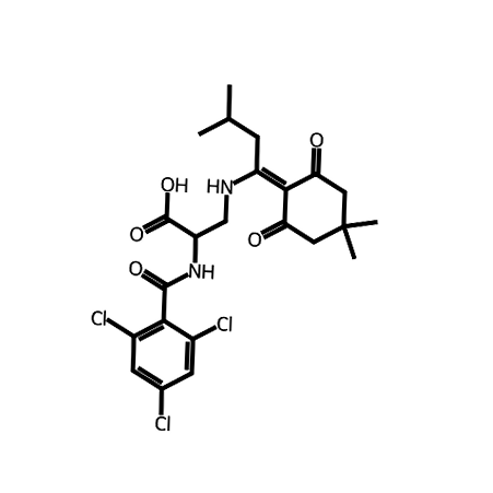 CC(C)CC(NCC(NC(=O)c1c(Cl)cc(Cl)cc1Cl)C(=O)O)=C1C(=O)CC(C)(C)CC1=O